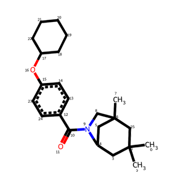 CC1(C)CC2CC(C)(CN2C(=O)c2ccc(OC3CCCCC3)cc2)C1